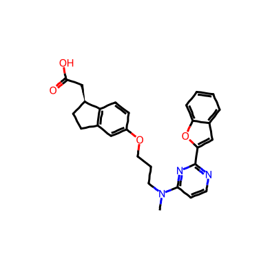 CN(CCCOc1ccc2c(c1)CC[C@H]2CC(=O)O)c1ccnc(-c2cc3ccccc3o2)n1